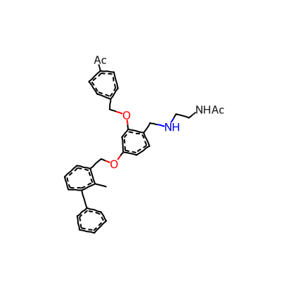 CC(=O)NCCNCc1ccc(OCc2cccc(-c3ccccc3)c2C)cc1OCc1ccc(C(C)=O)cc1